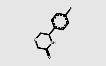 O=C1COCC(c2ccc(F)cc2)N1